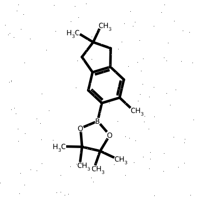 Cc1cc2c(cc1B1OC(C)(C)C(C)(C)O1)CC(C)(C)C2